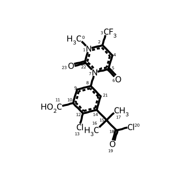 Cn1c(C(F)(F)F)cc(=O)n(-c2cc(C(=O)O)c(Cl)c(C(C)(C)C(=O)Cl)c2)c1=O